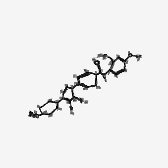 CCOc1ccc(OC(=O)c2ccc(-c3ccc(C4CCC(OC)CC4)c(F)c3F)cc2)c(F)c1